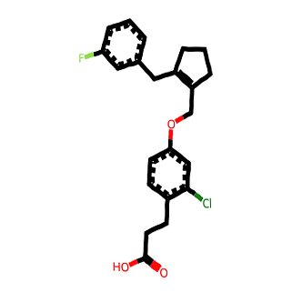 O=C(O)CCc1ccc(OCC2=C(Cc3cccc(F)c3)CCC2)cc1Cl